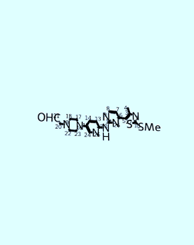 CSc1nc(C)c(-c2ccnc(Nc3ccc(N4CCN(CC=O)CC4)cn3)n2)s1